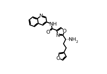 N[C@H](CCc1ccoc1)c1nc(C(=O)Nc2cnc3ccccc3c2)co1